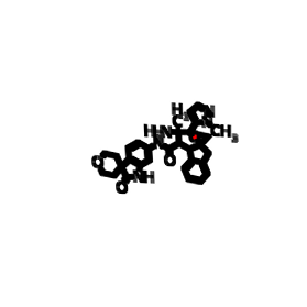 Cn1nccc1C(=O)[C@@](C)(N)C(C(=O)Nc1ccc2c(c1)NC(=O)C21CCOCC1)C1c2ccccc2CC12CC2